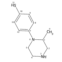 CC1CNCCN1c1ccc(S)cc1